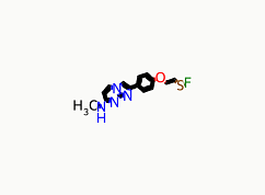 CNc1ccn2cc(-c3ccc(OCCSF)cc3)nc2n1